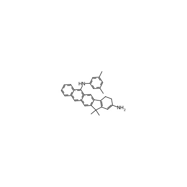 Cc1cc(C)cc(Nc2c3ccccc3cc3cc4c(cc23)C2=C(C=C(N)CC2)C4(C)C)c1